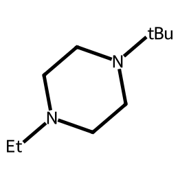 CCN1CCN(C(C)(C)C)CC1